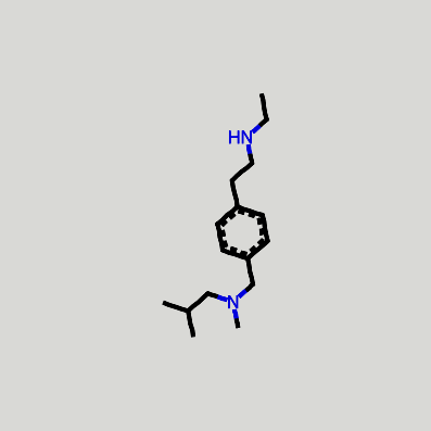 CCNCCc1ccc(CN(C)CC(C)C)cc1